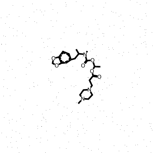 CC(OC(=O)CCN1CCN(C)CC1)OC(=O)N(C)C(C)Cc1ccc2c(c1)OCO2